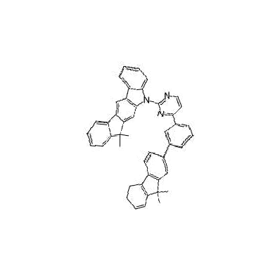 CC1(C)C2=C(CCC=C2)c2ccc(-c3cccc(-c4ccnc(-n5c6ccccc6c6cc7c(cc65)C(C)(C)c5ccccc5-7)n4)c3)cc21